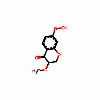 COC1COc2cc(OO)ccc2C1=O